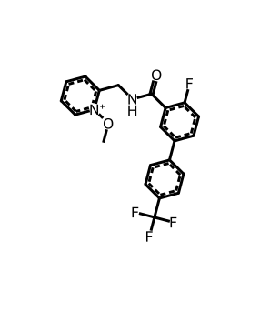 CO[n+]1ccccc1CNC(=O)c1cc(-c2ccc(C(F)(F)F)cc2)ccc1F